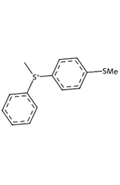 CSc1ccc([S+](C)c2ccccc2)cc1